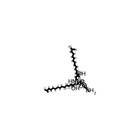 CC(C)CCCCCCCCCCC[C@@H](O)[C@H](COP(=O)(O)OCCN)NC(=O)CC(C)(O)CCCCCCCCCCCC(C)C